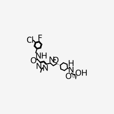 Cc1nc(C(=O)NCc2ccc(F)c(Cl)c2)cc(C2=NOC([C@H]3CC[C@H](NC(=O)[C@H](C)O)CC3)C2)n1